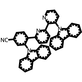 N#Cc1ccc(-c2cccc(-c3ncccc3-n3c4ccccc4c4ccccc43)n2)c(-n2c3ccccc3c3ccccc32)c1